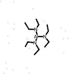 CC[N](CC)[Al]([N](CC)CC)[N](CC)CC